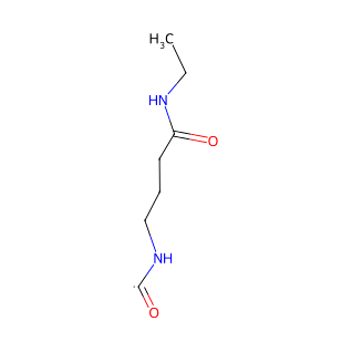 CCNC(=O)CCCN[C]=O